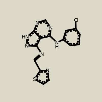 Clc1cccc(Nc2ncnc3[nH]nc(N=Cc4nccs4)c23)c1